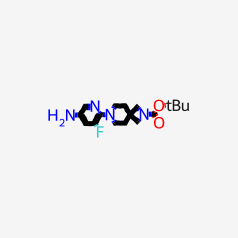 CC(C)(C)OC(=O)N1CC2(CCN(c3ncc(N)cc3F)CC2)C1